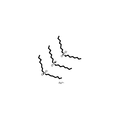 CCCCCCCCP(=O)([O-])CCCCCCCC.CCCCCCCCP(=O)([O-])CCCCCCCC.CCCCCCCCP(=O)([O-])CCCCCCCC.[Fe+3]